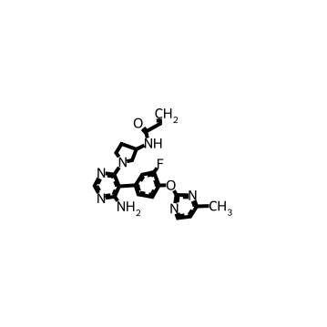 C=CC(=O)NC1CCN(c2ncnc(N)c2-c2ccc(Oc3nccc(C)n3)c(F)c2)C1